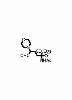 CCOC(=O)C(CCC(C=O)N1CCOCC1)(NC(C)=O)OCC